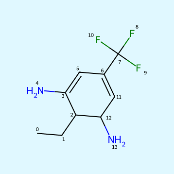 CCC1C(N)=CC(C(F)(F)F)=CC1N